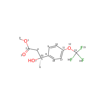 COC(=O)C[C@](C)(O)c1ccc(OC(F)(F)F)cc1